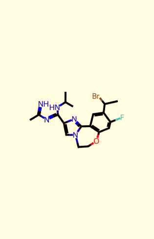 CC(=N)/N=C(\NC(C)C)c1cn2c(n1)-c1cc(C(C)Br)c(F)cc1OCC2